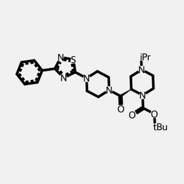 CC(C)N1CCN(C(=O)OC(C)(C)C)[C@@H](C(=O)N2CCN(c3nc(-c4ccccc4)ns3)CC2)C1